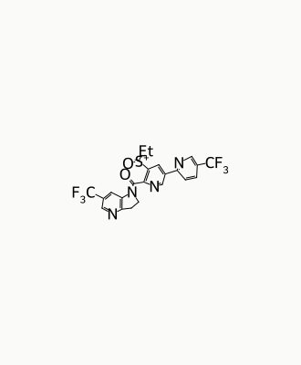 CC[S+]([O-])c1cc(-c2ccc(C(F)(F)F)cn2)cnc1C(=O)N1CCc2ncc(C(F)(F)F)cc21